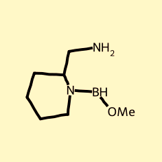 COBN1CCCCC1CN